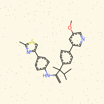 C=C(Nc1ccc(-c2csc(C)n2)cc1)C(C)(c1ccc(-c2cncc(OC)c2)cc1)C(C)C